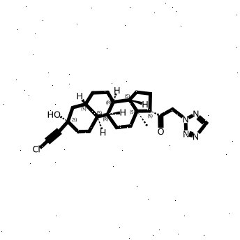 C[C@]12CC[C@H]3[C@@H](CC[C@H]4C[C@](O)(C#CCl)CC[C@@H]43)[C@@H]1CC[C@@H]2C(=O)Cn1ncnn1